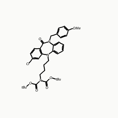 COc1ccc(CN2C(=O)c3ccc(Cl)cc3N(CCCCN(C(=O)OC(C)(C)C)C(=O)OC(C)(C)C)c3ccccc32)cc1